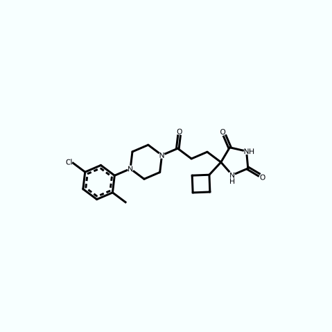 Cc1ccc(Cl)cc1N1CCN(C(=O)CCC2(C3CCC3)NC(=O)NC2=O)CC1